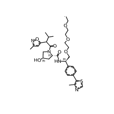 [CH2]COCCOCCOC[C@H](NC(=O)[C@@H]1C[C@@H](O)CN1C(=O)C(c1cc(C)no1)C(C)C)c1ccc(-c2scnc2C)cc1